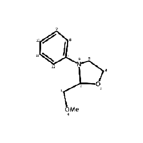 COCC1OCCN1c1ccccc1